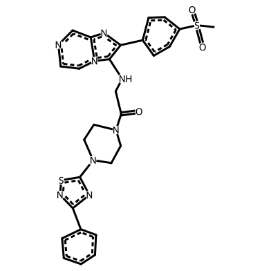 CS(=O)(=O)c1ccc(-c2nc3cnccn3c2NCC(=O)N2CCN(c3nc(-c4ccccc4)ns3)CC2)cc1